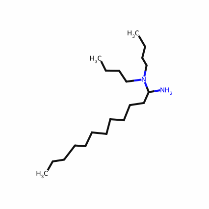 CCCCCCCCCCCC(N)N(CCCC)CCCC